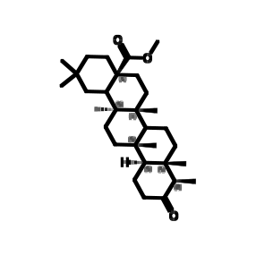 COC(=O)[C@]12CCC(C)(C)CC1[C@]1(C)CC[C@]3(C)C(CC[C@@]4(C)[C@H]3CCC(=O)[C@@H]4C)[C@@]1(C)CC2